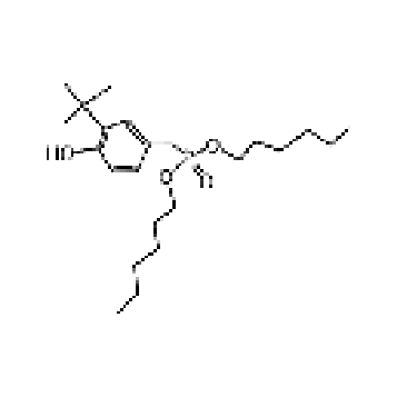 CCCCCCOP(=O)(Cc1ccc(O)c(C(C)(C)C)c1)OCCCCCC